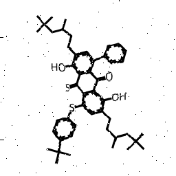 CC(CCc1cc(Sc2ccc(C(C)(C)C)cc2)c2c(c1O)C(=O)c1c(-c3ccccc3)cc(CCC(C)CC(C)(C)C)c(O)c1C2=S)CC(C)(C)C